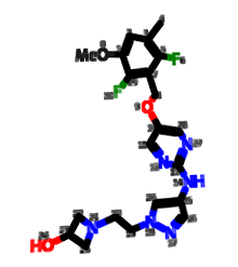 COc1cc(C)c(F)c(COc2cnc(Nc3cnn(CCN4CC(O)C4)c3)nc2)c1F